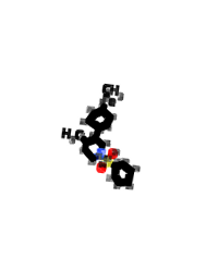 [CH3][Fe][c]1ccc(C2=C(C)CCN(S(=O)(=O)c3ccccc3)C2)cc1